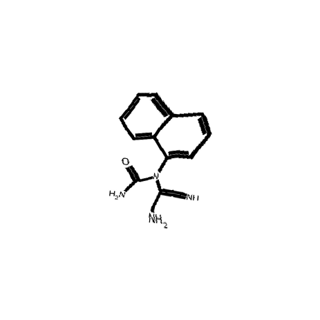 N=C(N)N(C(N)=O)c1cccc2ccccc12